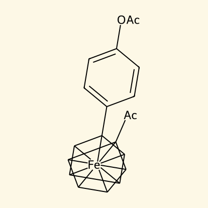 CC(=O)Oc1ccc([C]23[CH]4[CH]5[CH]6[CH]2[Fe]56432789[CH]3[CH]2[CH]7[C]8(C(C)=O)[CH]39)cc1